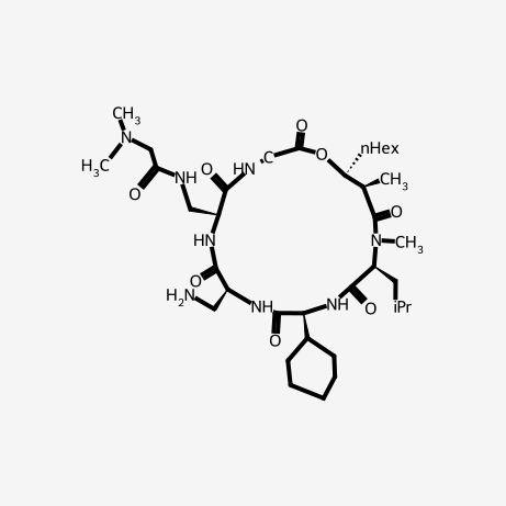 CCCCCC[C@H]1OC(=O)CNC(=O)[C@H](CNC(=O)CN(C)C)NC(=O)[C@H](CN)NC(=O)[C@H](C2CCCCC2)NC(=O)[C@H](CC(C)C)N(C)C(=O)[C@@H]1C